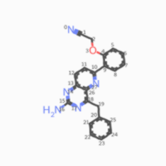 N#CCOc1ccccc1-c1ccc2nc(N)nc(Cc3ccccc3)c2n1